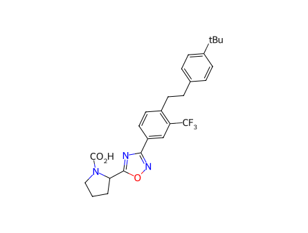 CC(C)(C)c1ccc(CCc2ccc(-c3noc(C4CCCN4C(=O)O)n3)cc2C(F)(F)F)cc1